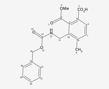 COC(=O)c1c(C(=O)O)ccc(C)c1CNC(=O)OCc1ccccc1